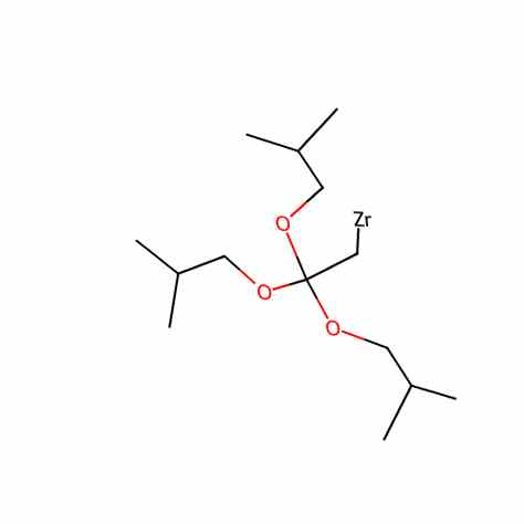 CC(C)COC([CH2][Zr])(OCC(C)C)OCC(C)C